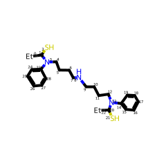 CCC(S)N(CCCCNCCCCN(c1ccccc1)C(S)CC)c1ccccc1